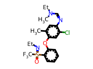 CCN=S(=O)(c1ccccc1Oc1cc(Cl)c(/N=C\N(C)CC)cc1C)C(F)(F)F